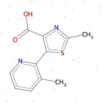 Cc1nc(C(=O)O)c(-c2ncccc2C)s1